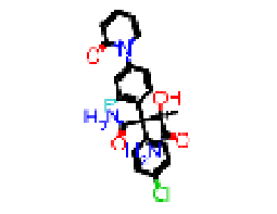 C[C@@](O)(C(N)=O)C(C(N)=O)(c1ccc(Cl)cc1)c1ccc(-n2ccccc2=O)cc1F